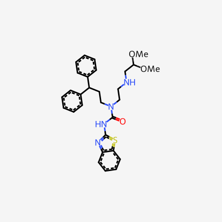 COC(CNCCN(CCC(c1ccccc1)c1ccccc1)C(=O)Nc1nc2ccccc2s1)OC